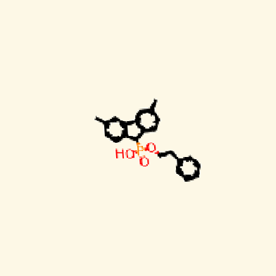 Cc1ccc2c(c1)-c1cc(C)ccc1C2P(=O)(O)OCCc1ccccc1